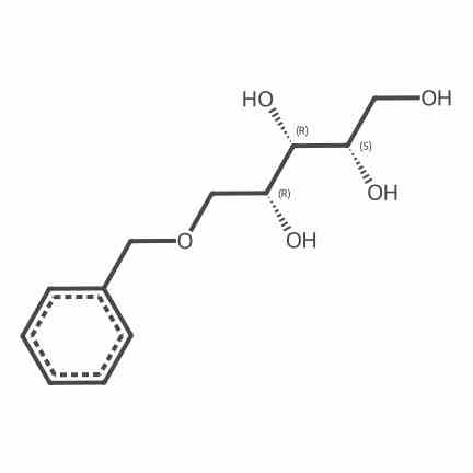 OC[C@H](O)[C@@H](O)[C@H](O)COCc1ccccc1